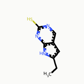 CCc1cc2cnc(S)nc2[nH]1